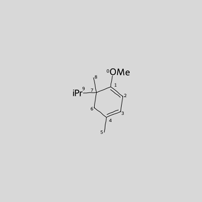 COC1=CC=C(C)CC1(C)C(C)C